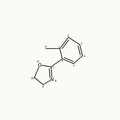 Cc1ccccc1C1=NCCO1